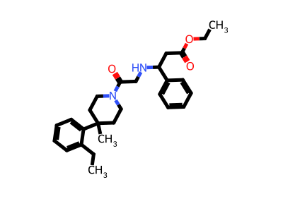 CCOC(=O)CC(NCC(=O)N1CCC(C)(c2ccccc2CC)CC1)c1ccccc1